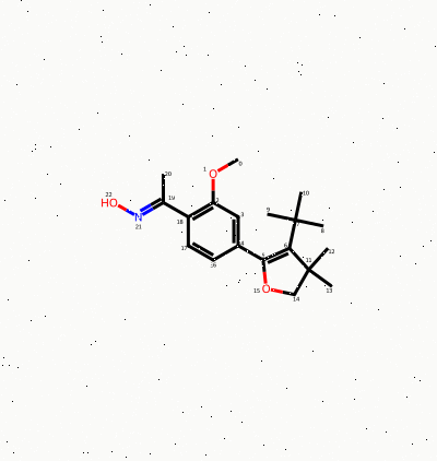 COc1cc(C2=C(C(C)(C)C)C(C)(C)CO2)ccc1C(C)=NO